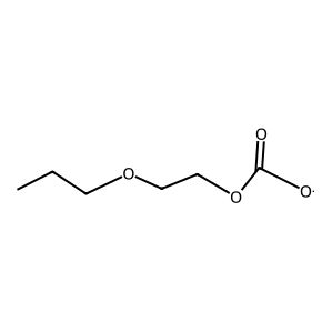 CCCOCCOC([O])=O